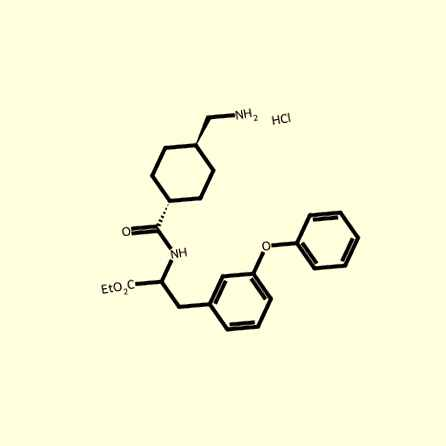 CCOC(=O)C(Cc1cccc(Oc2ccccc2)c1)NC(=O)[C@H]1CC[C@H](CN)CC1.Cl